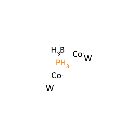 B.P.[Co].[Co].[W].[W]